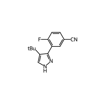 CC(C)(C)c1c[nH]nc1-c1cc(C#N)ccc1F